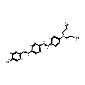 OCCN(CCO)c1ccc(N=Nc2ccc(N=Nc3ccc(O)cc3)cc2)cc1